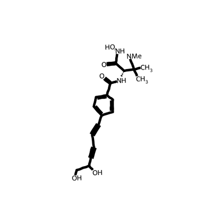 CNC(C)(C)[C@H](NC(=O)c1ccc(C#CC#CC(O)CO)cc1)C(=O)NO